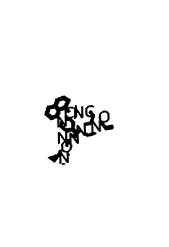 C=CC(=O)N1CCN(c2nc(OCC3(N(C)C)CC3)nc3c2CCN(c2cccc4cccc(Cl)c24)C3)CC1CC#N